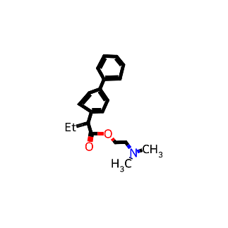 CCC(C(=O)OCCN(C)C)c1ccc(-c2ccccc2)cc1